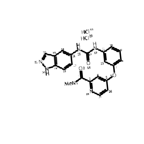 CNC(=O)c1cc(Oc2cccc(NC(=O)Nc3ccc4[nH]ncc4c3)c2)ccn1.Cl.Cl